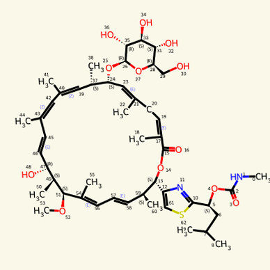 CNC(=O)O[C@@H](CC(C)C)c1nc([C@H]2OC(=O)/C(C)=C/C/C(C)=C/[C@@H](O[C@@H]3O[C@H](CO)[C@@H](O)[C@H](O)[C@H]3O)[C@@H](C)\C=C(C)/C=C(C)\C=C\[C@@H](O)[C@H](C)[C@H](OC)/C(C)=C/C=C/[C@@H]2C)cs1